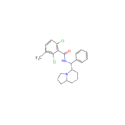 O=C(NC(c1ccccc1)C1CCCC2CCCN21)c1c(Cl)ccc(C(F)(F)F)c1Cl